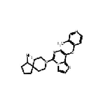 NC1CCCC12CCN(c1ncc(Sc3ccncc3C(F)(F)F)c3nccn13)CC2